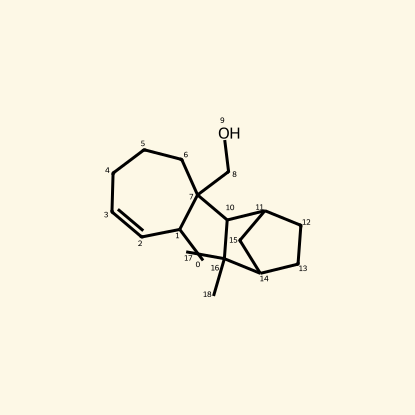 CC1C=CCCCC1(CO)C1C2CCC(C2)C1(C)C